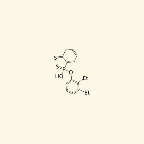 CCc1cccc(OP(O)(=S)C2=CC=CCC2=S)c1CC